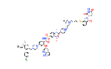 CN(CCCCSc1cccc2c1CN(C1CCC(=O)NC1=O)C2=O)CCCN1CCC(CNc2ccc(S(=O)(=O)NC(=O)c3ccc(N4CCN(CC5=C(c6ccc(Cl)cc6)CC(C)(C)CC5)CC4)cc3Oc3cnc4[nH]ccc4c3)cc2[N+](=O)[O-])CC1